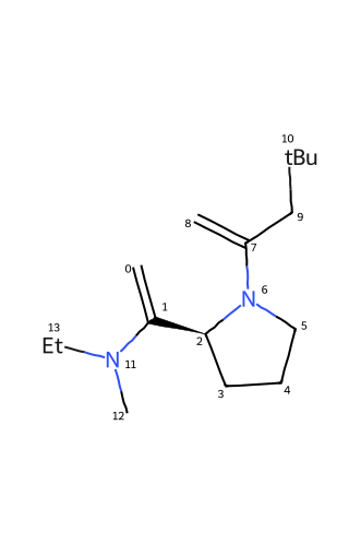 C=C([C@@H]1CCCN1C(=C)CC(C)(C)C)N(C)CC